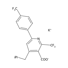 CC(C)Cc1cc(-c2ccc(C(F)(F)F)cc2)nc(C(F)(F)F)c1C(=O)[O-].[K+]